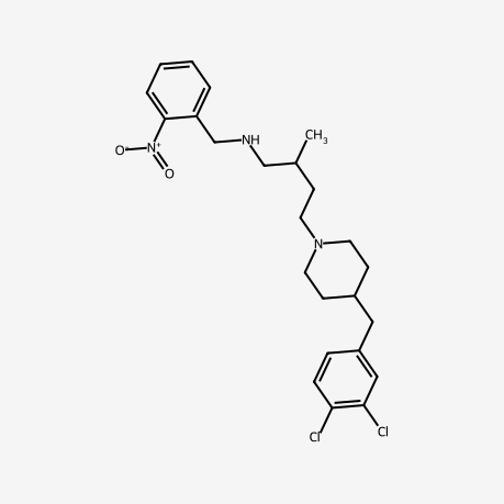 CC(CCN1CCC(Cc2ccc(Cl)c(Cl)c2)CC1)CNCc1ccccc1[N+](=O)[O-]